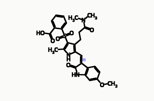 COc1ccc2c(c1)NC(=O)/C2=C\c1[nH]c(C)c(S(=O)(=O)c2ccccc2C(=O)O)c1CCC(=O)N(C)C